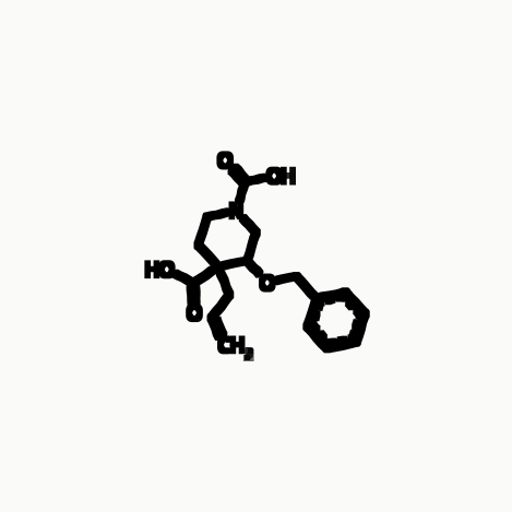 C=CCC1(C(=O)O)CCN(C(=O)O)CC1OCc1ccccc1